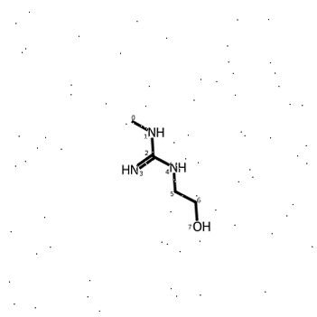 CNC(=N)NCCO